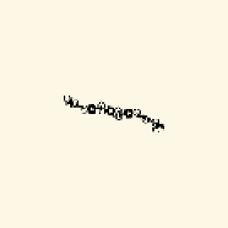 C=CC(=O)OCCOCCOc1ccc(C(=O)Oc2ccc(OC(=O)c3ccc(OCCOC4(C)COC4)cc3)cc2C)cc1